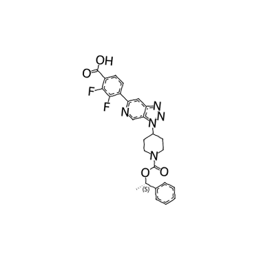 C[C@H](OC(=O)N1CCC(n2nnc3cc(-c4ccc(C(=O)O)c(F)c4F)ncc32)CC1)c1ccccc1